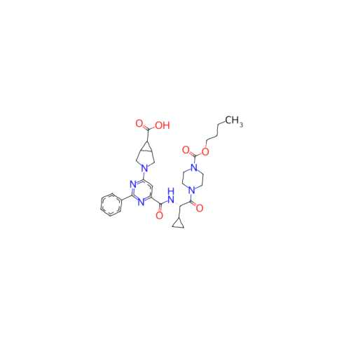 CCCCOC(=O)N1CCN(C(=O)[C@@H](NC(=O)c2cc(N3CC4C(C3)C4C(=O)O)nc(-c3ccccc3)n2)C2CC2)CC1